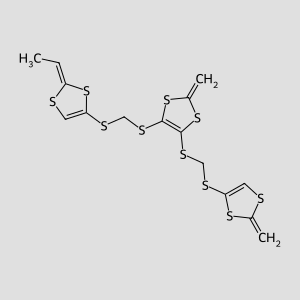 C=C1SC=C(SCSC2=C(SCSC3=CS/C(=C\C)S3)SC(=C)S2)S1